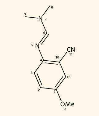 COc1ccc(N=CN(C)C)c(C#N)c1